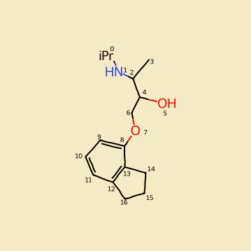 CC(C)NC(C)C(O)COc1cccc2c1CCC2